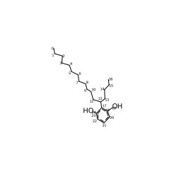 CCCCCCCCCCCCC(CCCC)c1c(O)cccc1O